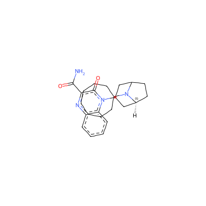 NC(=O)c1nc2ccccc2n(C2CC3CC[C@@H](C2)N3C2CCCCCCC2)c1=O